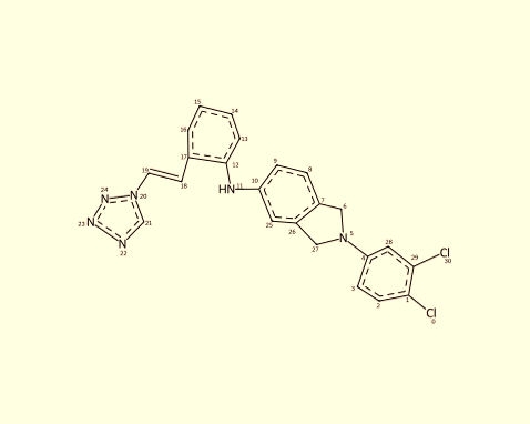 Clc1ccc(N2Cc3ccc(Nc4ccccc4C=Cn4cnnn4)cc3C2)cc1Cl